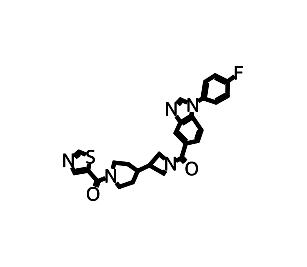 O=C(c1ccc2c(c1)ncn2-c1ccc(F)cc1)N1CC(C2CCN(C(=O)c3cncs3)CC2)C1